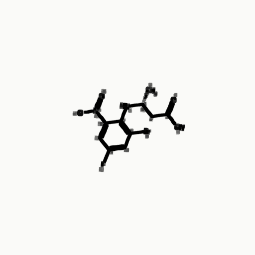 C[C@H](CC(=O)O)Nc1c(Br)cc(F)cc1[N+](=O)[O-]